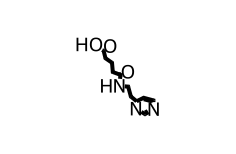 O=C(O)CCCC(=O)NCCc1ccncn1